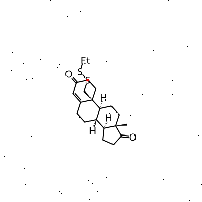 CCSSC[C@]12CCC(=O)C=C1CC[C@@H]1[C@@H]2CC[C@]2(C)C(=O)CC[C@@H]12